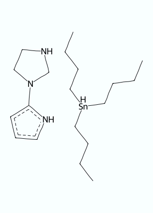 CCC[CH2][SnH]([CH2]CCC)[CH2]CCC.c1c[nH]c(N2CCNC2)c1